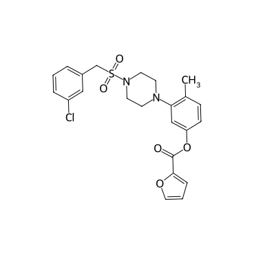 Cc1ccc(OC(=O)c2ccco2)cc1N1CCN(S(=O)(=O)Cc2cccc(Cl)c2)CC1